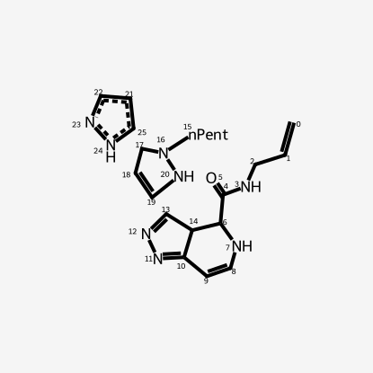 C=CCNC(=O)C1NC=CC2=NN=CC21.CCCCCN1CC=CN1.c1cn[nH]c1